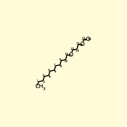 CCCCCCCCCCCCOCCCO[C]=O